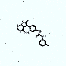 Cc1cccc(NC(=S)Nc2ccc(-c3c(C)sc4ncnc(N)c34)cc2)c1